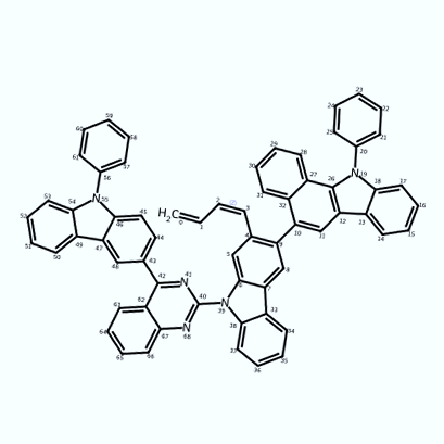 C=C/C=C\c1cc2c(cc1-c1cc3c4ccccc4n(-c4ccccc4)c3c3ccccc13)c1ccccc1n2-c1nc(-c2ccc3c(c2)c2ccccc2n3-c2ccccc2)c2ccccc2n1